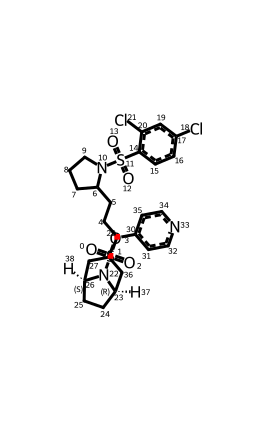 O=S(=O)(CCCC1CCCN1S(=O)(=O)c1ccc(Cl)cc1Cl)N1[C@@H]2CC[C@H]1CC(Oc1ccncc1)C2